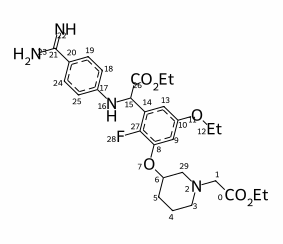 CCOC(=O)CN1CCCC(Oc2cc(OCC)cc(C(Nc3ccc(C(=N)N)cc3)C(=O)OCC)c2F)C1